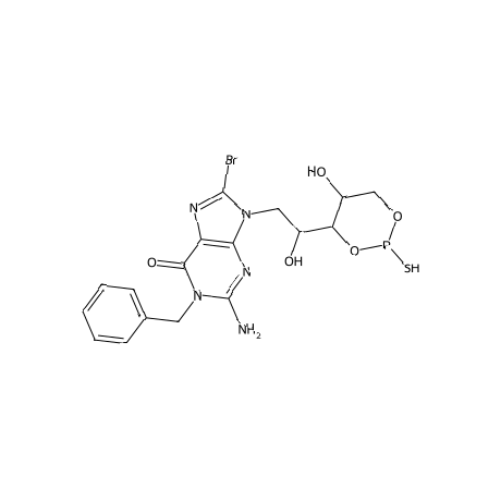 Nc1nc2c(nc(Br)n2CC(O)C2OP(S)OCC2O)c(=O)n1Cc1ccccc1